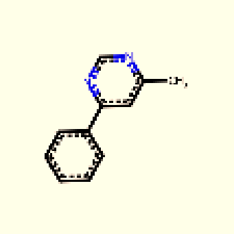 Cc1cc(-c2[c]cccc2)ncn1